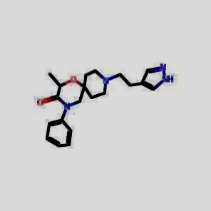 CC1OC2(CCN(CCc3cn[nH]c3)CC2)CN(c2ccccc2)C1=O